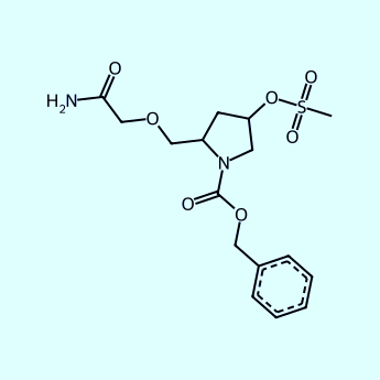 CS(=O)(=O)OC1CC(COCC(N)=O)N(C(=O)OCc2ccccc2)C1